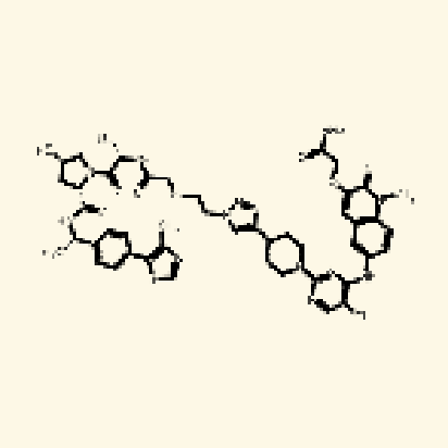 CNC(=O)COc1cc2cc(Nc3nc(N4CCC(c5cn(CCOCC(=O)N[C@H](C(=O)N6C[C@H](O)C[C@H]6C(=O)N[C@@H](C)c6ccc(-c7scnc7C)cc6)C(C)(C)C)nn5)CC4)ncc3Cl)ccc2n(C)c1=O